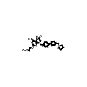 COCCOc1nc(N)c2c(n1)N(Cc1ccc(-c3ccc(CN4CCCC4)cc3)cc1)CC(=O)N2